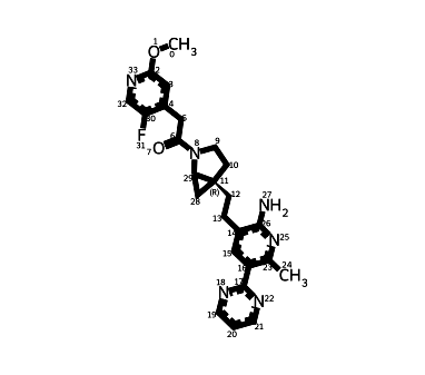 COc1cc(CC(=O)N2CC[C@]3(CCc4cc(-c5ncccn5)c(C)nc4N)CC23)c(F)cn1